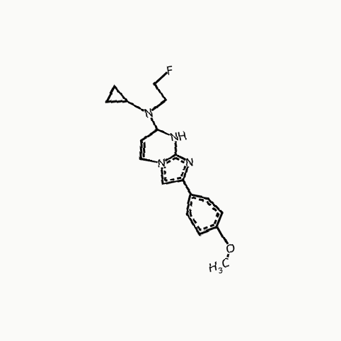 COc1ccc(-c2cn3c(n2)NC(N(CCF)C2CC2)C=C3)cc1